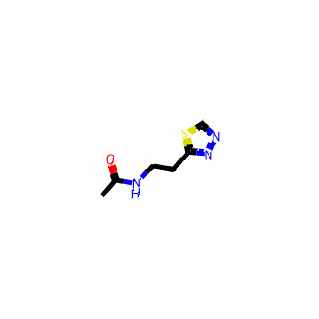 CC(=O)NCCc1nn[c]s1